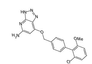 COc1cccc(Cl)c1-c1ccc(COc2cc(N)nc3[nH]nnc23)cc1